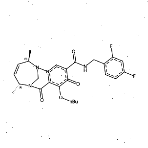 CCCCOc1c2n(cc(C(=O)NCc3ccc(F)cc3F)c1=O)N1CN(C2=O)[C@H](C)C=C[C@H]1C